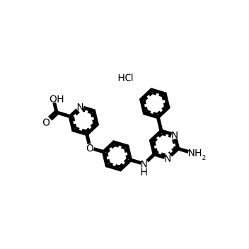 Cl.Nc1nc(Nc2ccc(Oc3ccnc(C(=O)O)c3)cc2)cc(-c2ccccc2)n1